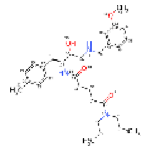 CCCN(CCC)C(=O)CCCC(=O)N[C@@H](Cc1ccc(C)cc1)[C@H](O)CNCc1cccc(OC)c1